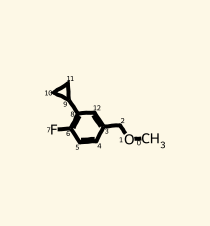 COCc1ccc(F)c(C2CC2)c1